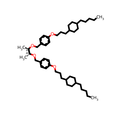 CCCCCC1CCC(CCCOc2ccc(CO[C@H](C)[C@@H](C)OCc3ccc(OCCCC4CCC(CCCCC)CC4)cc3)cc2)CC1